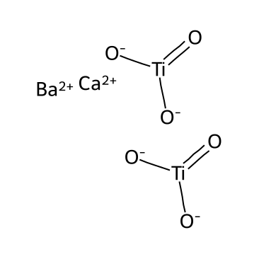 [Ba+2].[Ca+2].[O]=[Ti]([O-])[O-].[O]=[Ti]([O-])[O-]